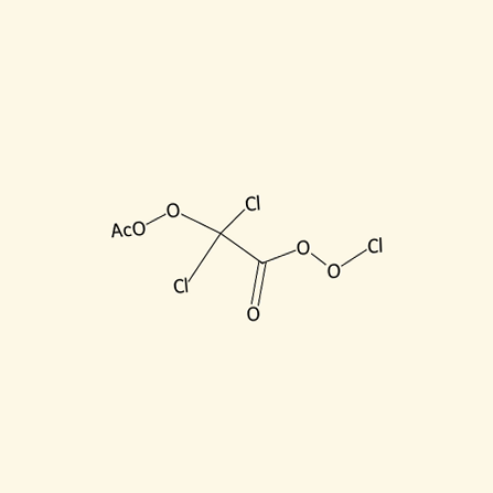 CC(=O)OOC(Cl)(Cl)C(=O)OOCl